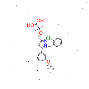 CC(C)(OCc1cc(-c2cccc(OC(F)(F)F)c2)n(Cc2ccccc2Cl)n1)C(O)O